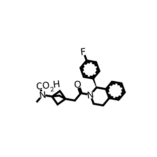 CN(C(=O)O)C12CC(CC(=O)N3CCc4ccccc4[C@@H]3c3ccc(F)cc3)(C1)C2